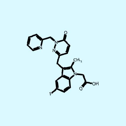 Cc1c(Cc2ccc(=O)n(Cc3ccccn3)n2)c2cc(F)ccc2n1CC(=O)O